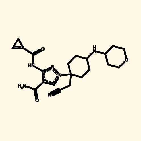 N#CCC1(n2cc(C(N)=O)c(NC(=O)C3=CC3)n2)CCC(NC2CCOCC2)CC1